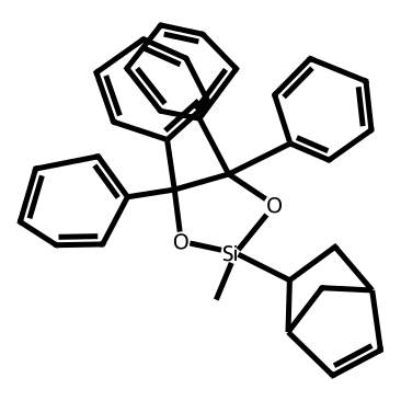 C[Si]1(C2CC3C=CC2C3)OC(c2ccccc2)(c2ccccc2)C(c2ccccc2)(c2ccccc2)O1